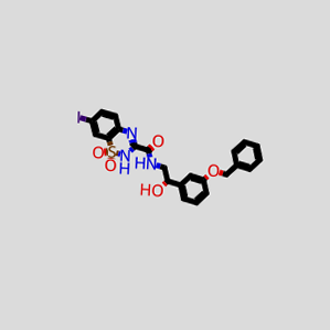 O=C(NCC(O)c1cccc(OCc2ccccc2)c1)C1=Nc2ccc(I)cc2S(=O)(=O)N1